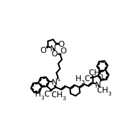 CN1/C(=C/C=C2C=C(/C=C/C3=[N+](CCCCCC(=O)ON4C(=O)CCC4=O)c4ccc5ccccc5c4C3(C)C)CCC/2)C(C)(C)c2c1ccc1ccccc21